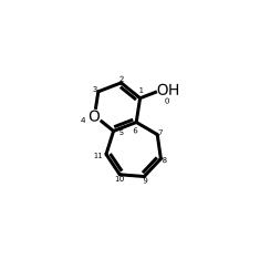 OC1=CCOC2=C1CC=CC=C2